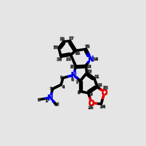 CN(C)CCCn1c2cc3c(cc2c2ncc4ccccc4c21)OCO3